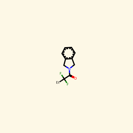 CCC(F)(F)C(=O)N1Cc2ccccc2C1